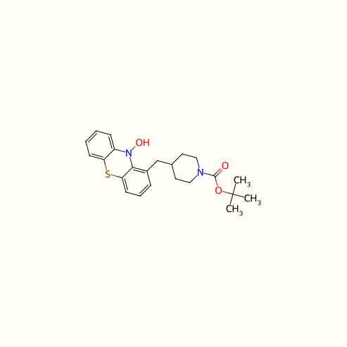 CC(C)(C)OC(=O)N1CCC(Cc2cccc3c2N(O)c2ccccc2S3)CC1